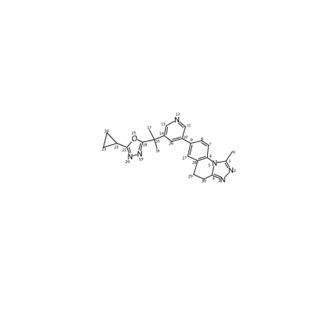 Cc1nnc2n1-c1ccc(-c3cncc(C(C)(C)c4nnc(C5CC5)o4)c3)cc1CC2